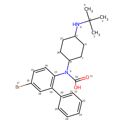 CC(C)(C)NC1CCC(N(C(=O)O)c2ccc(Br)cc2-c2ccccc2)CC1